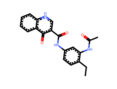 CCc1ccc(NC(=O)c2c[nH]c3ccccc3c2=O)cc1NC(C)=O